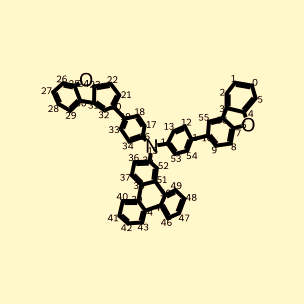 c1ccc2c(c1)oc1ccc(-c3ccc(N(c4ccc(-c5ccc6oc7ccccc7c6c5)cc4)c4ccc5c6ccccc6c6ccccc6c5c4)cc3)cc12